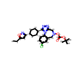 CCc1cc([C@H]2CC[C@H](c3nnc4n3-c3ccc(Cl)cc3CN(OC(=O)OC(C)(C)C)C4)CC2)no1